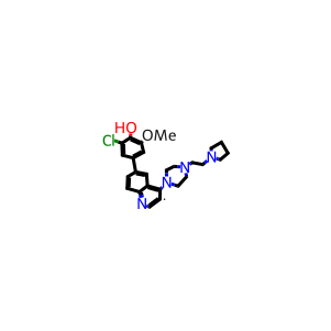 COc1cc(-c2ccc3nc[c]c(N4CCN(CCN5CCCC5)CC4)c3c2)cc(Cl)c1O